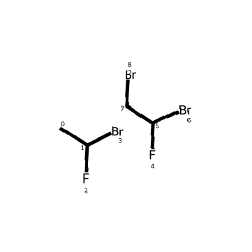 CC(F)Br.FC(Br)CBr